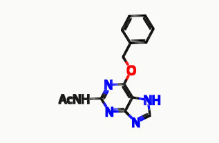 CC(=O)Nc1nc(OCc2ccccc2)c2[nH]cnc2n1